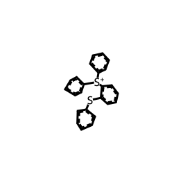 c1ccc(Sc2ccccc2[S+](c2ccccc2)c2ccccc2)cc1